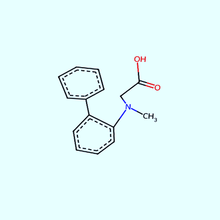 CN(CC(=O)O)c1ccccc1-c1ccccc1